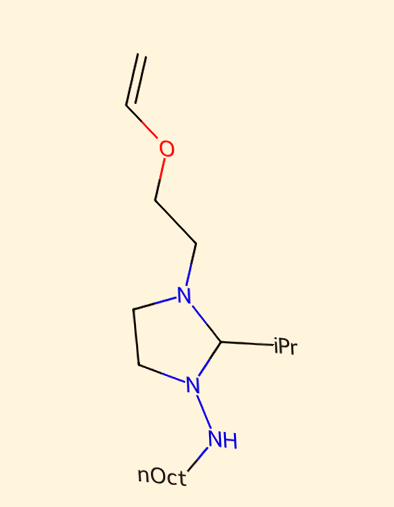 C=COCCN1CCN(NCCCCCCCC)C1C(C)C